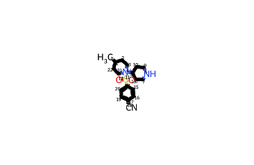 CC1CC[N+](C2CCNCC2)(S(=O)(=O)c2ccc(C#N)cc2)CC1